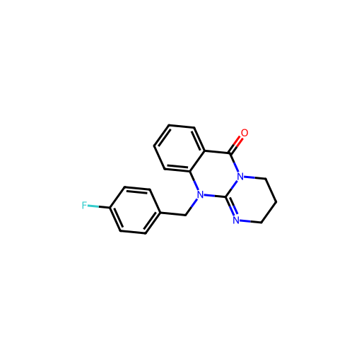 O=C1c2ccccc2N(Cc2ccc(F)cc2)C2=NCCCN12